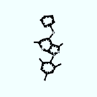 Cc1cc(C)c(-n2nc(C)c3c(Oc4ccccc4)cc(C)nc32)c(C)c1